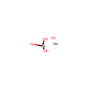 [Na+].[OH-].[OH][Rh]([OH])[OH]